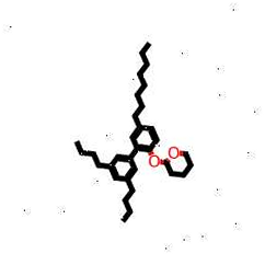 CCCCCCCCc1ccc(OC2CCCCO2)c(-c2cc(CCCC)cc(CCCC)c2)c1